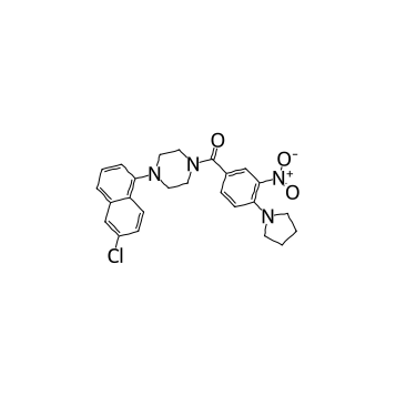 O=C(c1ccc(N2CCCC2)c([N+](=O)[O-])c1)N1CCN(c2cccc3cc(Cl)ccc23)CC1